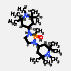 CN1C(C)(C)CC(N2CCN(C3CC(C)(C)N(C)C(C)(C)C3)P2(C)=O)CC1(C)C